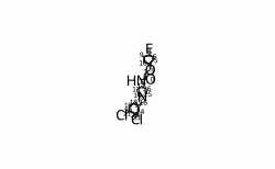 O=C(COc1ccc(F)cc1)NC1CCN(Cc2ccc(Cl)c(Cl)c2)CC1